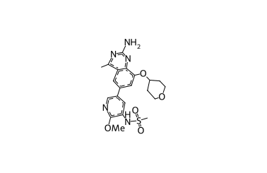 COc1ncc(-c2cc(OC3CCOCC3)c3nc(N)nc(C)c3c2)cc1NS(C)(=O)=O